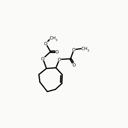 COC(=O)OC1C=CCCCCC1OC(=O)OC